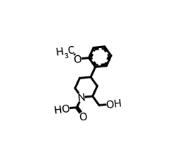 COc1ccccc1C1CCN(C(=O)O)C(CO)C1